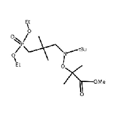 CCOP(=O)(CC(C)(C)CN(OC(C)(C)C(=O)OC)C(C)(C)C)OCC